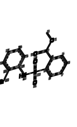 COC(=O)c1ccccc1S(=O)(=O)Nc1ccccc1Br